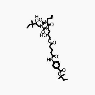 C=CCn1c(=O)n(CC(O)COC(=O)CCCC(=O)Nc2ccc(C(=O)OC(C)(C)CC)cc2)c(=O)n(CC(O)C(C)(C)CC)c1=O